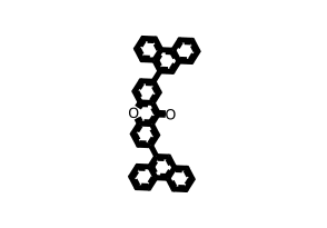 O=c1c2cc(-c3cc4ccccc4c4ccccc34)ccc2oc2ccc(-c3cc4ccccc4c4ccccc34)cc12